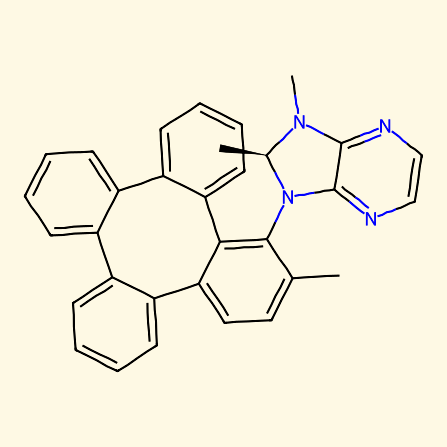 Cc1ccc2c(c1N1c3nccnc3N(C)[C@@H]1C)-c1ccccc1-c1ccccc1-c1ccccc1-2